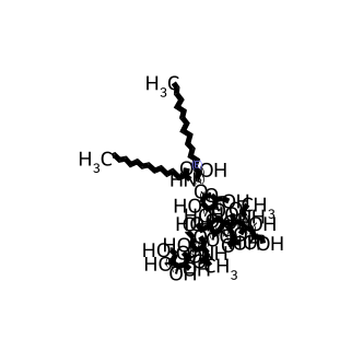 CCCCCCCCCCCCC/C=C/[C@@H](O)[C@H](CO[C@@H]1OC(CO)[C@@H](O[C@@H]2OC(CO)[C@H](O[C@@H]3OC(CO)[C@H](O)[C@H](O[C@@H]4OC(CO)[C@H](O)[C@H](O)C4O)C3NC(C)=O)[C@H](O[C@]3(C(=O)O)CC(O)[C@@H](NC(C)=O)C([C@H](O)[C@H](O)CO)O3)C2O)[C@H](O)C1O)NC(=O)CCCCCCCCCCCCC